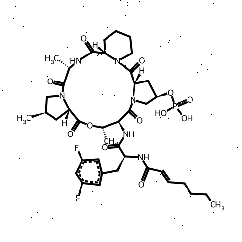 CCCC/C=C/C(=O)N[C@@H](Cc1cc(F)cc(F)c1)C(=O)N[C@@H]1C(=O)N2C[C@H](OP(=O)(O)O)C[C@H]2C(=O)N2CCCC[C@H]2C(=O)N[C@@H](C)C(=O)N2C[C@H](C)C[C@H]2C(=O)O[C@H]1C